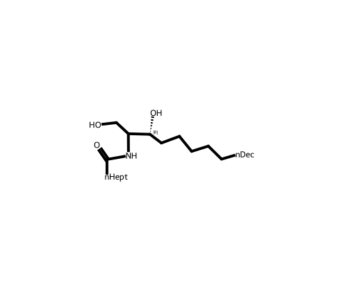 CCCCCCCCCCCCCCC[C@@H](O)C(CO)NC(=O)CCCCCCC